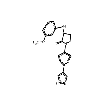 COc1cccc(N[C@@H]2CCN(c3ccc(-c4cn[nH]c4)cc3)C2=O)c1